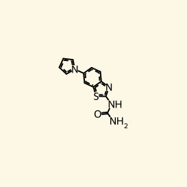 NC(=O)Nc1nc2ccc(-n3cccc3)cc2s1